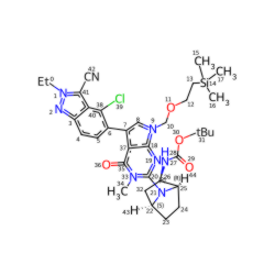 CCn1nc2ccc(-c3cn(COCC[Si](C)(C)C)c4nc(N5[C@H]6CC[C@@H]5[C@H](NC(=O)OC(C)(C)C)C6)n(C)c(=O)c34)c(Cl)c2c1C#N